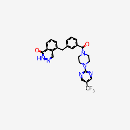 O=C(c1cccc(Cc2cccc3c(=O)[nH]ncc23)c1)N1CCN(c2ncc(C(F)(F)F)cn2)CC1